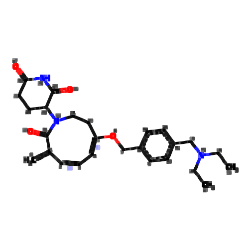 C=C1/C=C\C=C(\OCc2ccc(CN(CC)CC)cc2)CCN(C2CCC(=O)NC2=O)C1=O